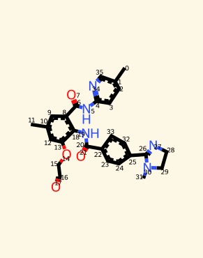 Cc1ccc(NC(=O)c2cc(C)cc(OCC=O)c2NC(=O)c2ccc(C3=NCCN3C)cc2)nc1